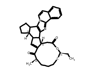 CC[C@H]1CCCC[C@@H](C)C(=O)C2=CC3C(c4nc5c6ccccc6ccn5c4C4CCC[C@H]43)[C@@H]2CC(=O)O1